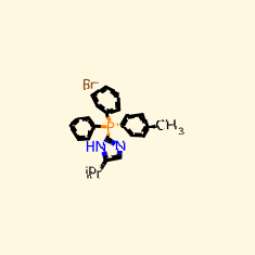 Cc1ccc([P+](c2ccccc2)(c2ccccc2)c2ncc(C(C)C)[nH]2)cc1.[Br-]